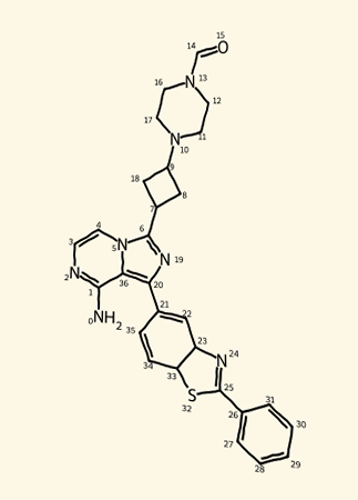 Nc1nccn2c(C3CC(N4CCN(C=O)CC4)C3)nc(C3=CC4N=C(c5ccccc5)SC4C=C3)c12